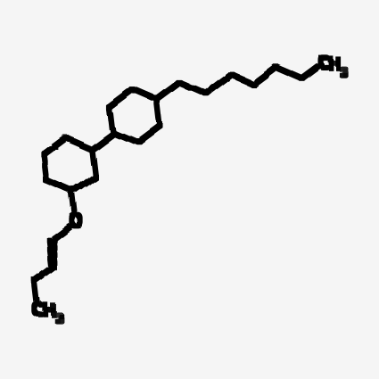 CC/C=C/OC1CCCC(C2CCC(CCCCCCC)CC2)C1